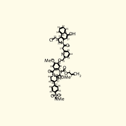 C=CCOC(=O)N1c2cc(OCc3cccc(CC(=O)N4C[C@@H](CCl)c5c4cc(O)c4ccccc54)n3)c(OC)cc2C(=O)N2CC=C(c3ccc(S(=O)(=O)NC)cc3)C[C@H]2C1OC